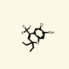 CCC1(CC)C=C(C(F)(F)F)c2cc(Cl)c(O)cc2O1